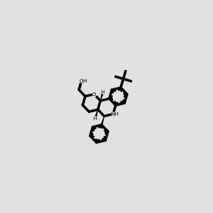 CC(C)(C)c1ccc2c(c1)[C@H]1OC(CO)CC[C@H]1[C@H](c1ccccc1)N2